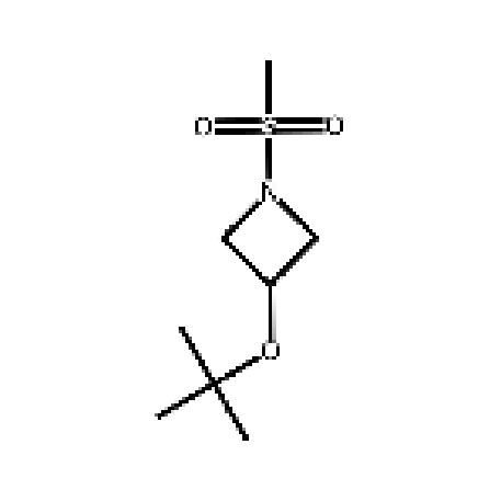 CC(C)(C)OC1CN(S(C)(=O)=O)C1